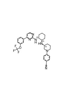 N#Cc1ccc(N2CCC[C@H](N[C@@H]3CCCC[C@H]3Nc3nccc(-c4cccc(OC(F)(F)F)c4)n3)C2)cc1